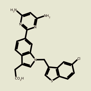 Nc1cc(N)nc(-c2ccc3c(CC(=O)O)cn(Cc4csc5ccc(Cl)cc45)c3c2)n1